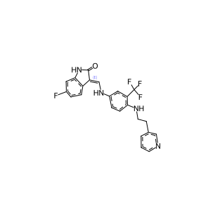 O=C1Nc2cc(F)ccc2/C1=C\Nc1ccc(NCCc2cccnc2)c(C(F)(F)F)c1